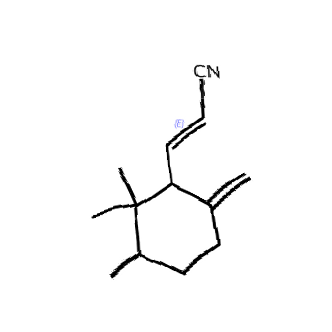 C=C1CCC(C)C(C)(C)C1/C=C/C#N